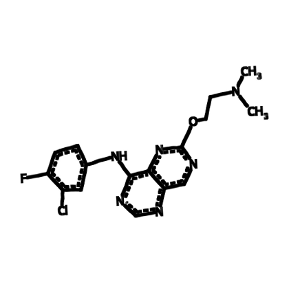 CN(C)CCOc1ncc2ncnc(Nc3ccc(F)c(Cl)c3)c2n1